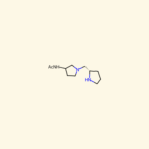 CC(=O)NC1CCN(C[C@@H]2CCCN2)C1